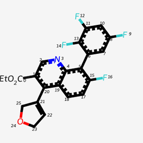 CCOC(=O)c1cnc2c(-c3cc(F)cc(F)c3F)c(F)ccc2c1C1=CCOC1